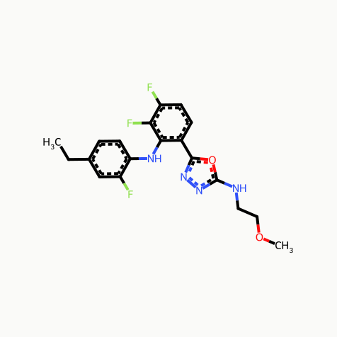 CCc1ccc(Nc2c(-c3nnc(NCCOC)o3)ccc(F)c2F)c(F)c1